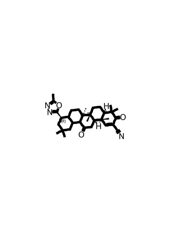 Cc1nnc([C@@H]2CC(C)(C)CC3C2CC[C@]2(C)C3C(=O)C[C@@H]3[C@@]4(C)C=C(C#N)C(=O)C(C)(C)[C@@H]4CC[C@]32C)o1